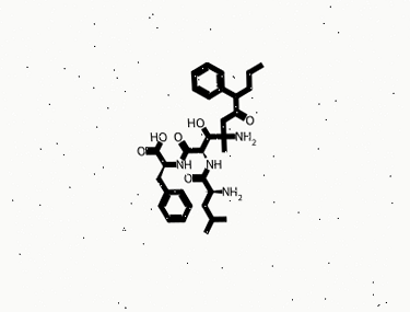 CCCC(C(=O)CC(C)(N)C(O)[C@H](NC(=O)[C@@H](N)CC(C)C)C(=O)N[C@@H](Cc1ccccc1)C(=O)O)c1ccccc1